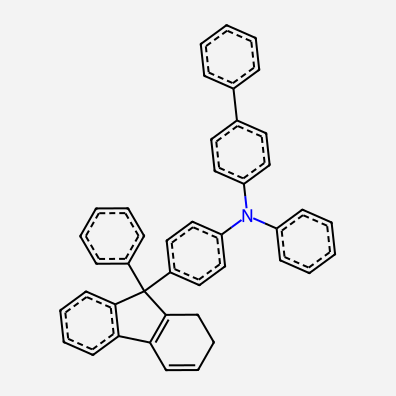 C1=CC2=C(CC1)C(c1ccccc1)(c1ccc(N(c3ccccc3)c3ccc(-c4ccccc4)cc3)cc1)c1ccccc12